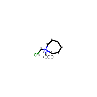 O=C([O-])[N+]1(CCl)CCCCCC1